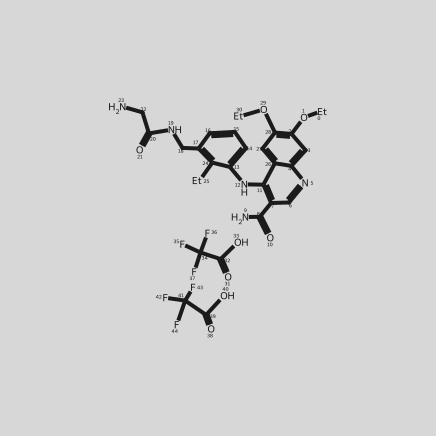 CCOc1cc2ncc(C(N)=O)c(Nc3cccc(CNC(=O)CN)c3CC)c2cc1OCC.O=C(O)C(F)(F)F.O=C(O)C(F)(F)F